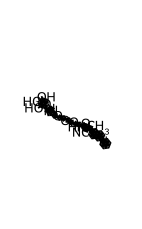 C/C(=C(/C#N)C(=O)NCCOCCOCCOCc1cn(C[C@H]2OC[C@H](O)[C@@H](O)[C@@H]2O)nn1)c1ccc2cc(N3CCCCC3)ccc2c1